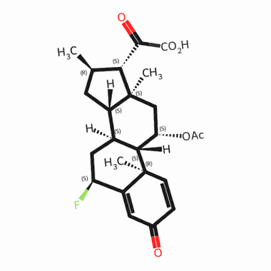 CC(=O)O[C@H]1C[C@@]2(C)[C@@H](C[C@@H](C)[C@@H]2C(=O)C(=O)O)[C@@H]2C[C@H](F)C3=CC(=O)C=C[C@]3(C)[C@H]21